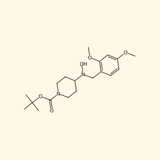 COc1ccc(CN(O)C2CCN(C(=O)OC(C)(C)C)CC2)c(OC)c1